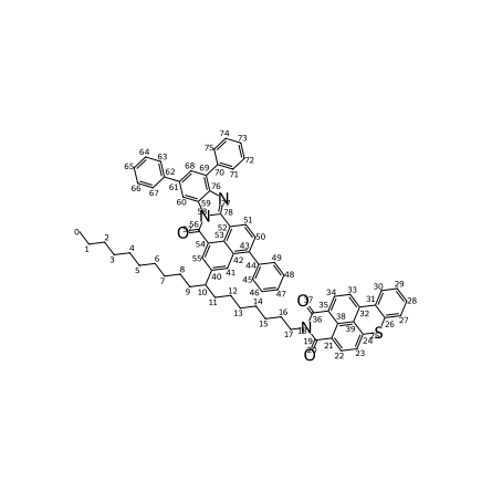 CCCCCCCCCCC(CCCCCCCn1c(=O)c2ccc3sc4ccccc4c4ccc(c1=O)c2c34)c1cc2c(-c3ccccc3)ccc3c2c(c1)c(=O)n1c2cc(-c4ccccc4)cc(-c4ccccc4)c2nc31